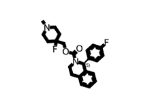 CN1CCC(F)(COC(=O)N2CCc3ccccc3[C@@H]2c2ccc(F)cc2)CC1